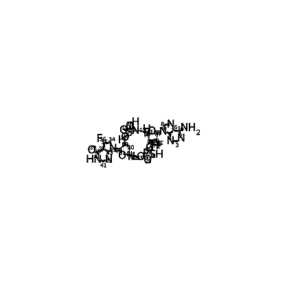 Nc1ncnc2c1ncn2[C@@H]1O[C@@H]2CNS(=O)(=O)O[C@@H]3C[C@@H](CO[P@](=O)(S)O[C@H]2[C@H]1F)O[C@H]3n1cc(F)c2c(=O)[nH]cnc21